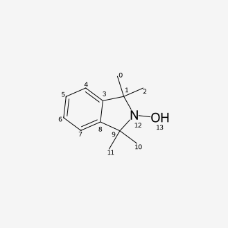 CC1(C)c2ccccc2C(C)(C)N1O